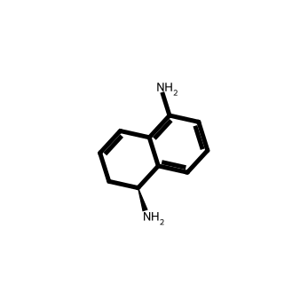 Nc1cccc2c1C=CC[C@@H]2N